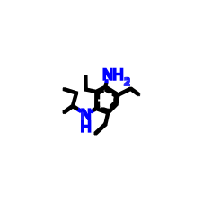 CCc1cc(CC)c(NC(C)CC)c(CC)c1N